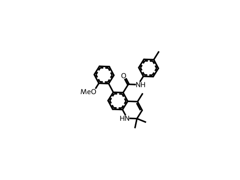 COc1ccccc1-c1ccc2c(c1C(=O)Nc1ccc(C)cc1)C(C)=CC(C)(C)N2